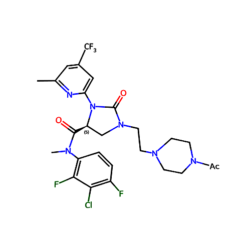 CC(=O)N1CCN(CCN2C[C@@H](C(=O)N(C)c3ccc(F)c(Cl)c3F)N(c3cc(C(F)(F)F)cc(C)n3)C2=O)CC1